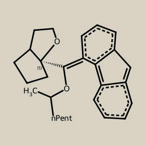 CCCCCC(C)OC(=c1cccc2c1=c1ccccc1=C2)[C@]12CCCC1CCO2